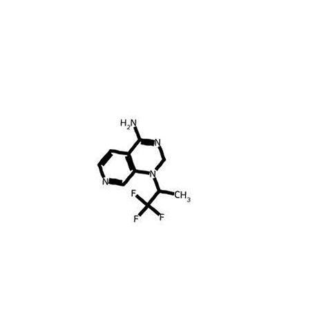 CC(N1CN=C(N)c2ccncc21)C(F)(F)F